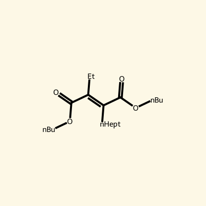 CCCCCCCC(C(=O)OCCCC)=C(CC)C(=O)OCCCC